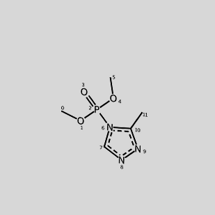 COP(=O)(OC)n1cnnc1C